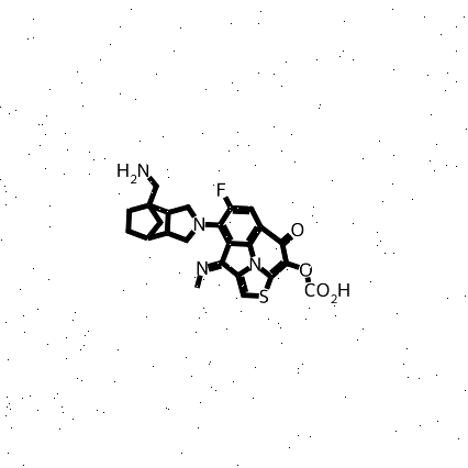 CN=c1c2c(N3CC4C5CCC(CN)(C5)C4C3)c(F)cc3c(=O)c(OC(=O)O)c4scc1n4c32